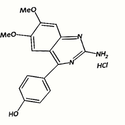 COc1cc2nc(N)nc(-c3ccc(O)cc3)c2cc1OC.Cl